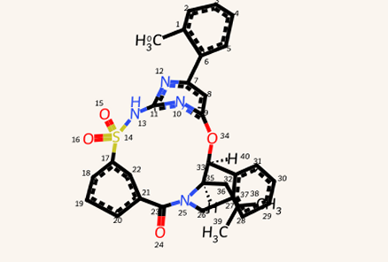 Cc1ccccc1-c1cc2nc(n1)NS(=O)(=O)c1cccc(c1)C(=O)N1Cc3ccccc3[C@H](O2)[C@H]1CC(C)C